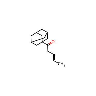 C/C=C/CC(=O)C12CC3CC(CC(C3)C1)C2